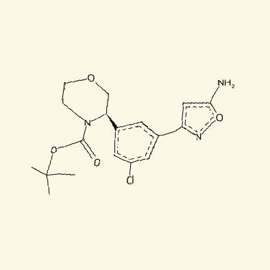 CC(C)(C)OC(=O)N1CCOC[C@H]1c1cc(Cl)cc(-c2cc(N)on2)c1